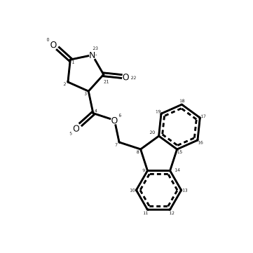 O=C1CC(C(=O)OCC2c3ccccc3-c3ccccc32)C(=O)[N]1